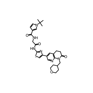 CC(C)(C)n1ccc(C(=O)NCC(=O)Nc2nc(-c3cnc4c(c3)CCC(=O)N4CC3CCOCC3)cs2)c1